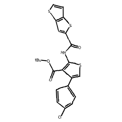 CC(C)(C)OC(=O)c1c(-c2ccc(Cl)cc2)csc1NC(=O)c1cc2sccc2s1